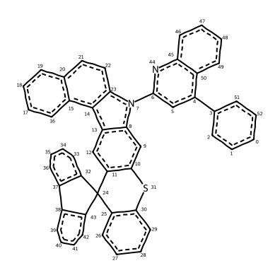 c1ccc(-c2cc(-n3c4cc5c(cc4c4c6ccccc6ccc43)C3(c4ccccc4S5)c4ccccc4-c4ccccc43)nc3ccccc23)cc1